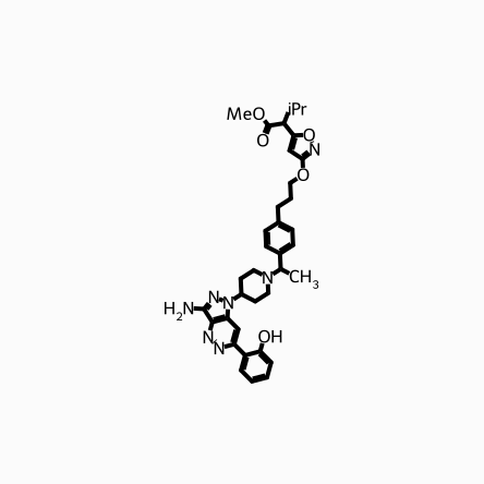 COC(=O)C(c1cc(OCCCc2ccc(C(C)N3CCC(n4nc(N)c5nnc(-c6ccccc6O)cc54)CC3)cc2)no1)C(C)C